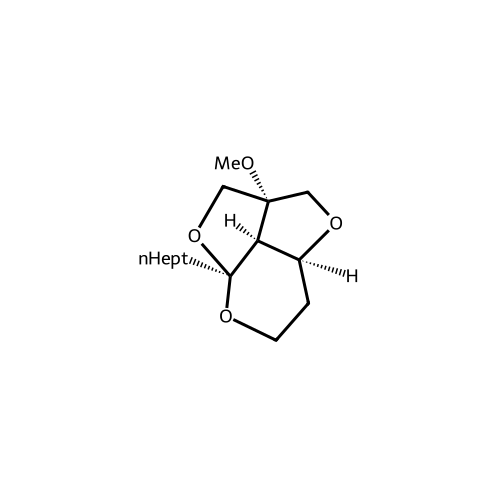 CCCCCCC[C@]12OCC[C@@H]3OC[C@](OC)(CO1)[C@@H]32